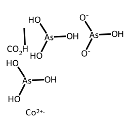 CC(=O)O.O[As](O)O.O[As](O)O.[Co+2].[O-][As]([O-])O